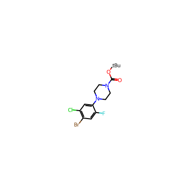 CC(C)(C)OC(=O)N1CCN(c2cc(Cl)c(Br)cc2F)CC1